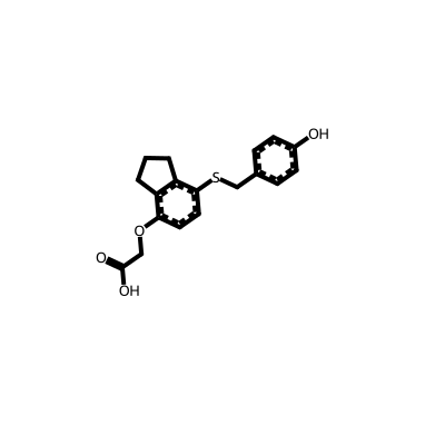 O=C(O)COc1ccc(SCc2ccc(O)cc2)c2c1CCC2